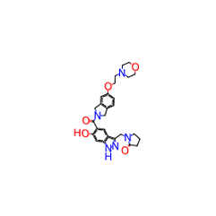 O=C1CCCN1Cc1n[nH]c2cc(O)c(C(=O)N3Cc4ccc(OCCN5CCOCC5)cc4C3)cc12